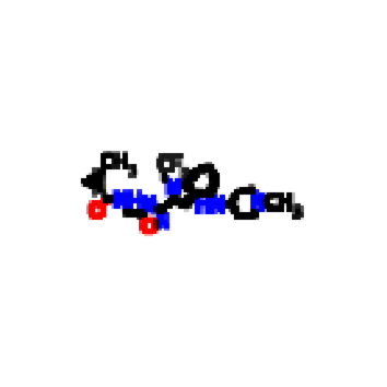 C[C@@H]1C[C@H]1C(=O)NCc1nc(-c2cc3c(NC4CCN(C)CC4)cccc3n2CC(F)(F)F)no1